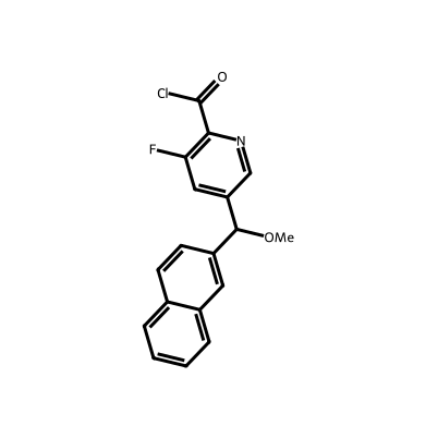 COC(c1cnc(C(=O)Cl)c(F)c1)c1ccc2ccccc2c1